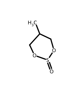 CC1COS(=O)OC1